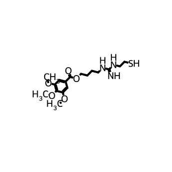 COc1cc(C(=O)OCCCCNC(=N)NCCS)cc(OC)c1OC